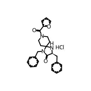 Cl.O=C(c1ccco1)N1CCC2(CC1)N[C@@H](Cc1ccccc1)C(=O)N2Cc1ccccc1